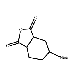 CNC1CCC2C(=O)OC(=O)C2C1